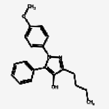 CCCCc1nn(-c2ccc(OC)cc2)c(-c2ccccc2)c1O